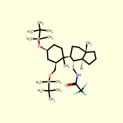 CC1([C@H]2CC[C@]3(C)CCC[C@H]3[C@@H]2CNC(=O)C(F)(F)F)CC[C@H](O[Si](C)(C)C(C)(C)C)C[C@@H]1CO[Si](C)(C)C(C)(C)C